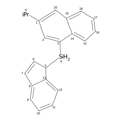 CC(C)c1cc([SiH2]C2C=Cc3ccccc32)c2ccccc2c1